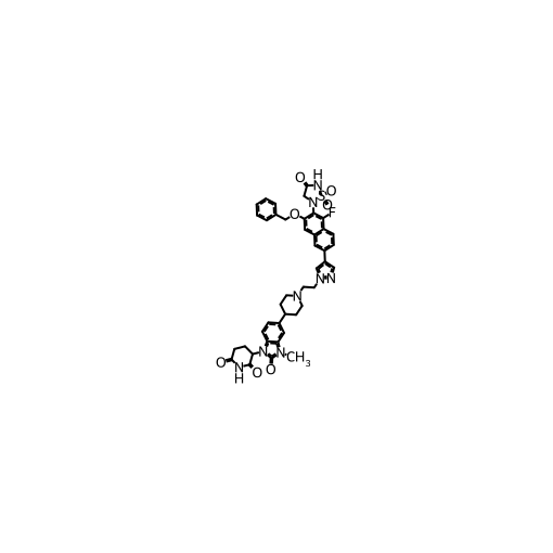 Cn1c(=O)n(C2CCC(=O)NC2=O)c2ccc(C3CCN(CCn4cc(-c5ccc6c(F)c(N7CC(=O)NS7(=O)=O)c(OCc7ccccc7)cc6c5)cn4)CC3)cc21